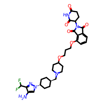 Nc1cn([C@H]2CC[C@H](CN3CCC(OCCCOc4cccc5c4C(=O)N(C4CCC(=O)NC4=O)C5=O)CC3)CC2)nc1C(F)F